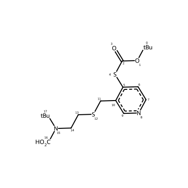 CC(C)(C)OC(=O)Sc1ccncc1CSCCN(C(=O)O)C(C)(C)C